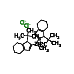 [CH2]=[Zr+2]([C]1=CC2=C(CCCC2)C1C(C)(C)C)[C]1=CC2=C(CCCC2)C1C(C)(C)C.[Cl-].[Cl-]